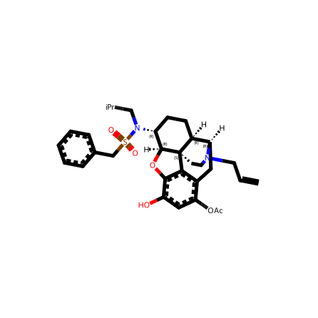 C=CCN1CC[C@]23c4c5c(OC(C)=O)cc(O)c4O[C@H]2[C@H](N(CC(C)C)S(=O)(=O)Cc2ccccc2)CC[C@H]3[C@H]1C5